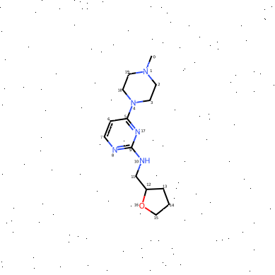 CN1CCN(c2ccnc(NCC3CCCO3)n2)CC1